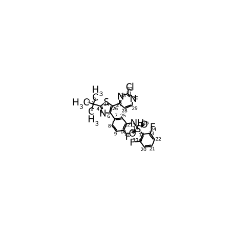 CC(C)(C)c1nc(-c2ccc(F)c(NS(=O)(=O)c3c(F)cccc3F)c2)c(-c2ccnc(Cl)n2)s1